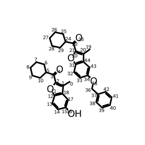 Cc1c(C(=O)C2CCCCC2)oc2ccc(O)cc12.Cc1c(C(=O)C2CCCCC2)oc2ccc(OCc3ccccc3)cc12